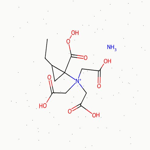 CCC1CC1(C(=O)OO)[N+](CC(=O)O)(CC(=O)O)CC(=O)O.N